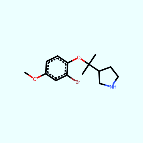 COc1ccc(OC(C)(C)C2CCNC2)c(Br)c1